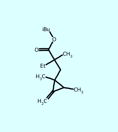 C=C1C(C)C1(C)CC(C)(CC)C(=O)OC(C)CC